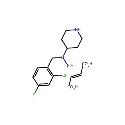 CCCN(Cc1ccc(F)cc1Cl)C1CCNCC1.O=C(O)C=CC(=O)O